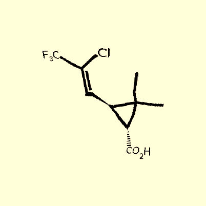 CC1(C)[C@H](/C=C(\Cl)C(F)(F)F)[C@H]1C(=O)O